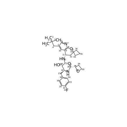 CC(C)(C)Cc1cnc2c(c1)[C@@H](NC[C@@H](O)[C@H](Cc1ccc(F)cc1)NC(=O)[C@@H]1CCO1)CC1(CCC1)O2